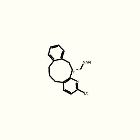 CCc1ccc2c(n1)[C@@H](CNC)Cc1ccccc1CCC2